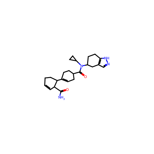 NC(=O)C1C=CCCC1C1=CCC(C(=O)N(C2CC2)C2CCc3[nH]ncc3C2)CC1